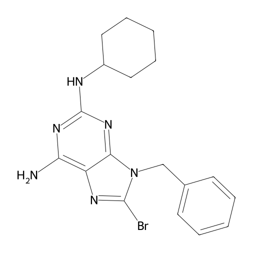 Nc1nc(NC2CCCCC2)nc2c1nc(Br)n2Cc1ccccc1